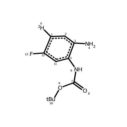 [2H]c1cc(N)c(NC(=O)OC(C)(C)C)cc1F